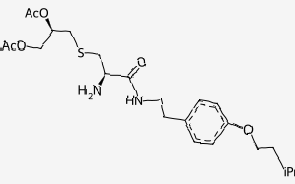 CC(=O)OC[C@H](CSC[C@H](N)C(=O)NCCc1ccc(OCCC(C)C)cc1)OC(C)=O